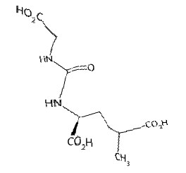 CC(C[C@H](NC(=O)NCC(=O)O)C(=O)O)C(=O)O